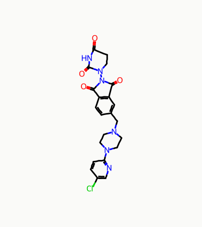 O=C1CCN(N2C(=O)c3ccc(CN4CCN(c5ccc(Cl)cn5)CC4)cc3C2=O)C(=O)N1